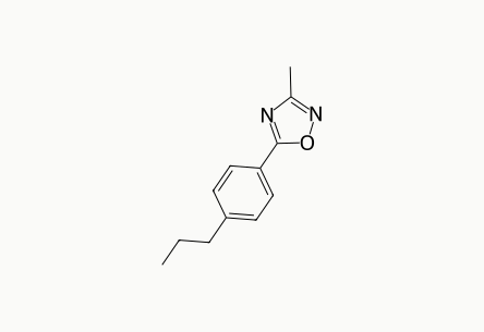 CCCc1ccc(-c2nc(C)no2)cc1